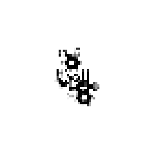 CCN(C(=O)Nc1ccc(F)c(Cl)c1)[C@@H](C)c1c[nH]c(=O)c2ccccc12